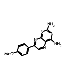 COc1ccc(-c2cnc3c(N)nc(N)nc3n2)cc1